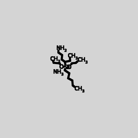 CCCCCC[Si](OCCC)(OCCC)C(CC)CCCN.N